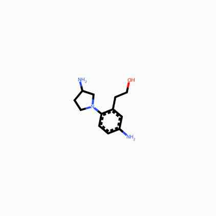 Nc1ccc(N2CCC(N)C2)c(CCO)c1